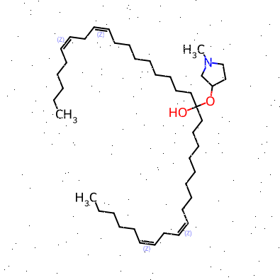 CCCCC/C=C\C/C=C\CCCCCCCCC(O)(CCCCCCCC/C=C\C/C=C\CCCCC)OC1CCN(C)C1